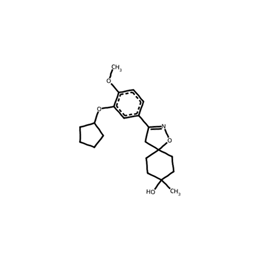 COc1ccc(C2=NOC3(CCC(C)(O)CC3)C2)cc1OC1CCCC1